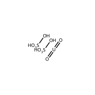 O=S(=O)(O)O.O=S(=O)(O)O.[O]=[U]=[O]